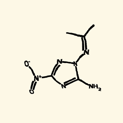 CC(C)=Nn1nc([N+](=O)[O-])nc1N